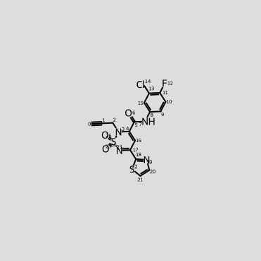 C#CCN1C(C(=O)Nc2ccc(F)c(Cl)c2)=CC(c2nccs2)=NS1(=O)=O